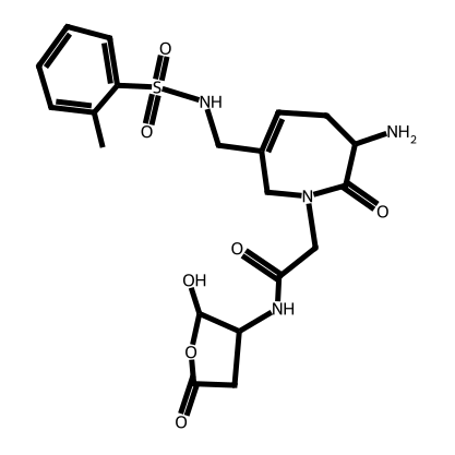 Cc1ccccc1S(=O)(=O)NCC1=CCC(N)C(=O)N(CC(=O)NC2CC(=O)OC2O)C1